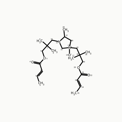 CC=CC(=O)OCC(C)(C)CN1C[N+]([O-])(CC(C)(C)COC(=O)C=CC)CC1C